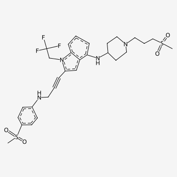 CS(=O)(=O)CCCN1CCC(Nc2cccc3c2cc(C#CCNc2ccc(S(C)(=O)=O)cc2)n3CC(F)(F)F)CC1